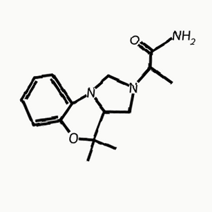 CC(C(N)=O)N1CC2N(C1)c1ccccc1OC2(C)C